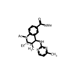 CC[C@H]1[C@H](C)C(Nc2nccc(C)n2)c2cc(C(=O)NC)ccc2N1C(C)=O